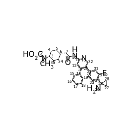 CN(C(=O)O)[C@H]1CC[C@H](CC(=O)Nc2cc(-c3ccccc3)c(-c3ccc(C4(N)CC4)c(F)c3)cn2)CC1